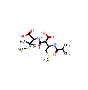 CSCC(NC(=O)C(C)C)C(C(=O)O)C(=O)NC(C(=O)O)C(C)(C)SC